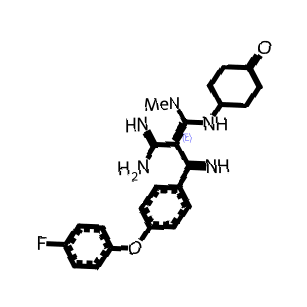 CN/C(NC1CCC(=O)CC1)=C(\C(=N)N)C(=N)c1ccc(Oc2ccc(F)cc2)cc1